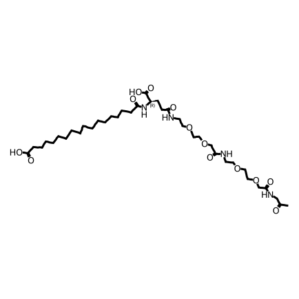 CC(=O)CNC(=O)COCCOCCNC(=O)COCCOCCNC(=O)CC[C@@H](NC(=O)CCCCCCCCCCCCCCCCC(=O)O)C(=O)O